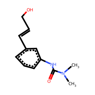 CN(C)C(=O)Nc1cccc(/C=C/CO)c1